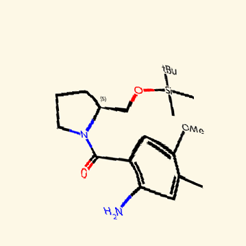 COc1cc(C(=O)N2CCC[C@H]2CO[Si](C)(C)C(C)(C)C)c(N)cc1C